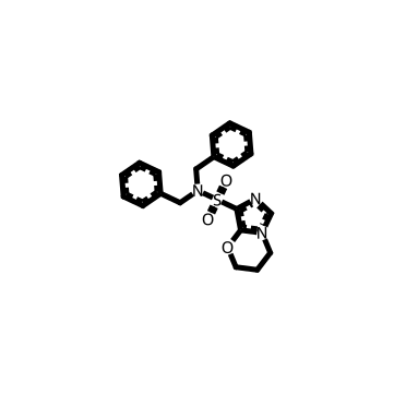 O=S(=O)(c1ncn2c1OCCC2)N(Cc1ccccc1)Cc1ccccc1